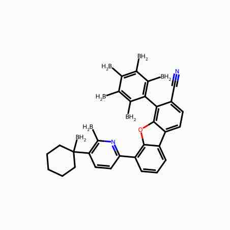 Bc1nc(-c2cccc3c2oc2c(-c4c(B)c(B)c(B)c(B)c4B)c(C#N)ccc23)ccc1C1(B)CCCCC1